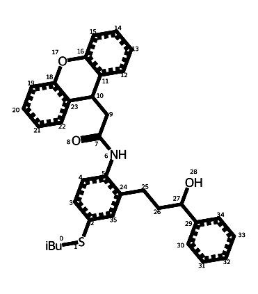 CCC(C)Sc1ccc(NC(=O)CC2c3ccccc3Oc3ccccc32)c(CCC(O)c2ccccc2)c1